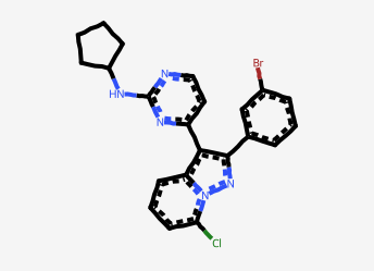 Clc1cccc2c(-c3ccnc(NC4CCCC4)n3)c(-c3cccc(Br)c3)nn12